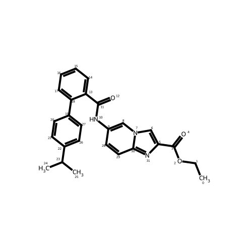 CCOC(=O)c1cn2cc(NC(=O)c3ccccc3-c3ccc(C(C)C)cc3)ccc2n1